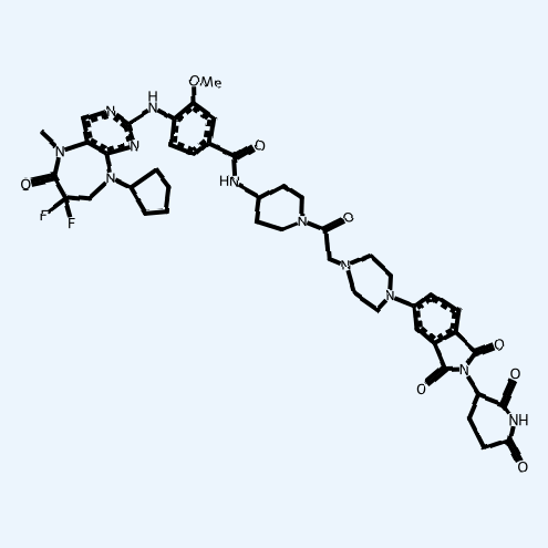 COc1cc(C(=O)NC2CCN(C(=O)CN3CCN(c4ccc5c(c4)C(=O)N(C4CCC(=O)NC4=O)C5=O)CC3)CC2)ccc1Nc1ncc2c(n1)N(C1CCCC1)CC(F)(F)C(=O)N2C